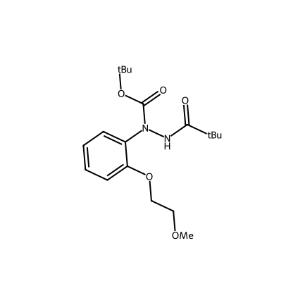 COCCOc1ccccc1N(NC(=O)C(C)(C)C)C(=O)OC(C)(C)C